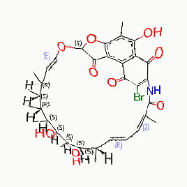 C/C1=C/C=C/[C@H](C)[C@H](O)[C@@H](C)[C@@H](O)[C@@H](C)[C@H](C)[C@H](C)[C@@H](C)/C=C/O[C@@]2(C)Oc3c(C)c(O)c4c(c3C2=O)C(=O)C(Br)=C(NC1=O)C4=O